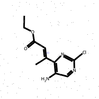 CCOC(=O)/C=C(\C)c1nc(Cl)ncc1N